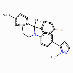 COc1ccc2c(c1)CCN(c1ccc(-c3ccnn3C)cc1)C2(C)c1ccc(Br)cc1